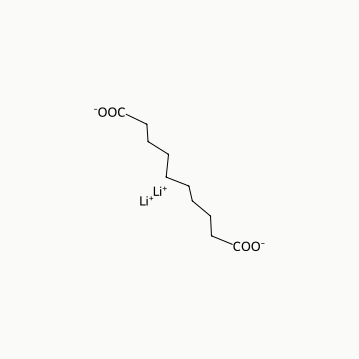 O=C([O-])CCCCCCCCC(=O)[O-].[Li+].[Li+]